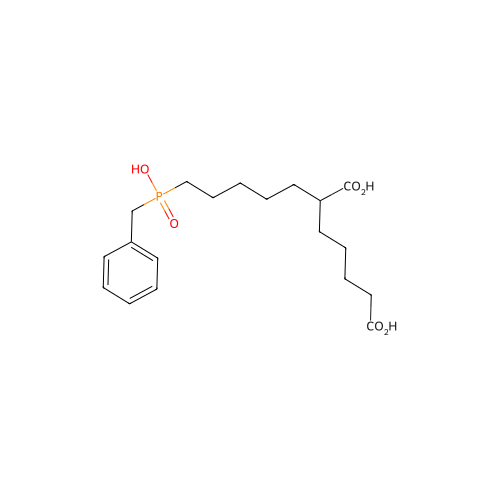 O=C(O)CCCCC(CCCCCP(=O)(O)Cc1ccccc1)C(=O)O